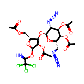 CC(=O)OC[C@H]1OC(OC(=N)C(Cl)(Cl)Cl)[C@H](OC(C)=O)[C@@H]1O[C@H]1O[C@@H](CN=[N+]=[N-])[C@@H](OC(C)=O)[C@H](OC(C)=O)[C@H]1N=[N+]=[N-]